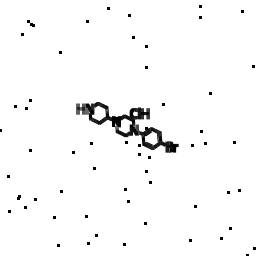 Brc1ccc(N2CCN(C3CCNCC3)CC2)cc1.Cl